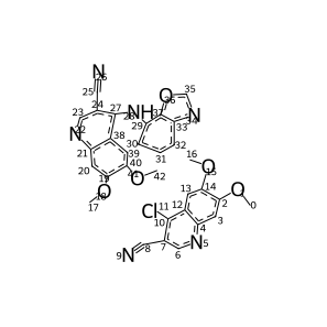 COc1cc2ncc(C#N)c(Cl)c2cc1OC.COc1cc2ncc(C#N)c(Nc3cccc4ncoc34)c2cc1OC